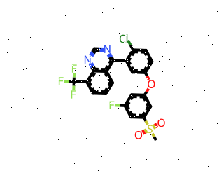 CS(=O)(=O)c1cc(F)cc(Oc2ccc(Cl)c(-c3ncnc4c(C(F)(F)F)cccc34)c2)c1